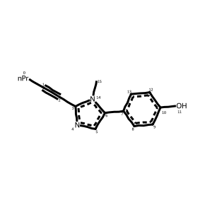 CCCC#Cc1ncc(-c2ccc(O)cc2)n1C